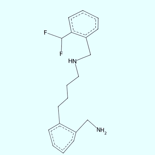 NCc1ccccc1CCCCNCc1ccccc1C(F)F